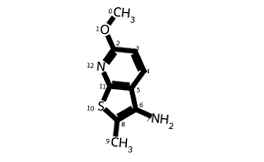 COc1ccc2c(N)c(C)sc2n1